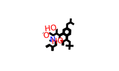 C=CC(=C)/C=C\N(C)C(COC)C(CO)/C(C)=c1\cc(CC(C)C)cc\c1=C(/CC(C)(C)C)C(=C)O